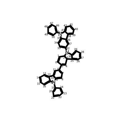 C1=CC2C(C=C1c1ccc3c(c1)c1ccccc1n3-c1ccccc1)c1ccccc1N2c1ccc2c(c1)c1ccccc1n2-c1ccccc1